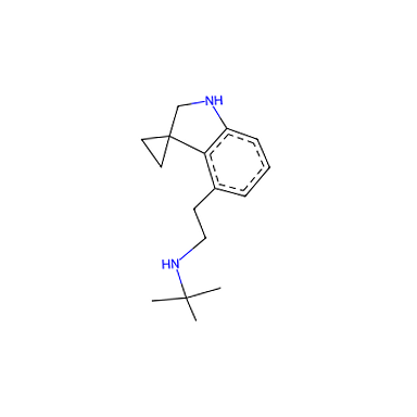 CC(C)(C)NCCc1cccc2c1C1(CC1)CN2